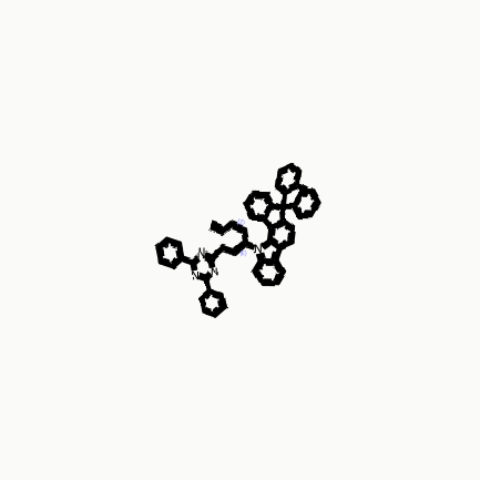 C=C/C=C\C(=C/Cc1nc(-c2ccccc2)nc(-c2ccccc2)n1)n1c2ccccc2c2ccc3c(c21)-c1ccccc1C3(c1ccccc1)c1ccccc1C